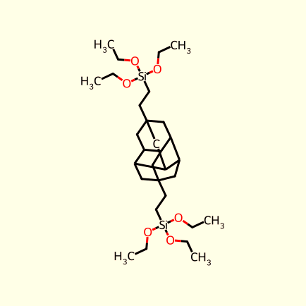 CCO[Si](CCC12CC3C4CC5(CC[Si](OCC)(OCC)OCC)CC3C(C1)C(C5)C4C2)(OCC)OCC